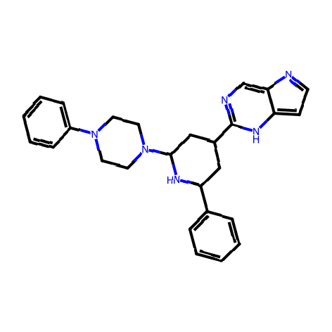 c1ccc(C2CC(c3ncc4nccc-4[nH]3)CC(N3CCN(c4ccccc4)CC3)N2)cc1